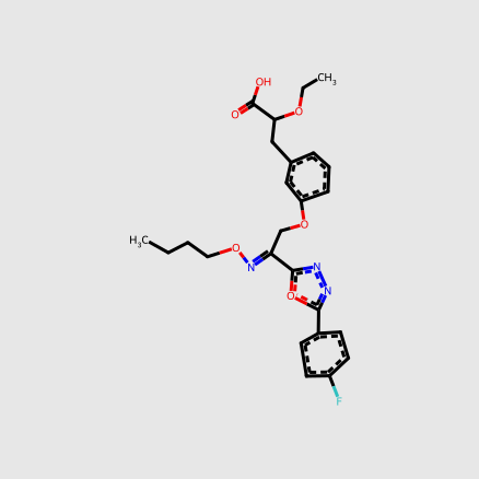 CCCCO/N=C(\COc1cccc(CC(OCC)C(=O)O)c1)c1nnc(-c2ccc(F)cc2)o1